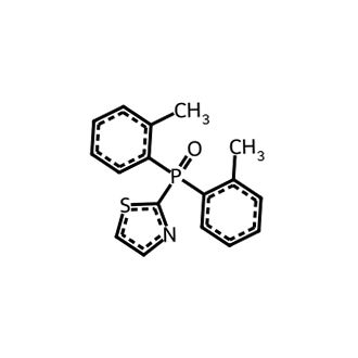 Cc1ccccc1P(=O)(c1nccs1)c1ccccc1C